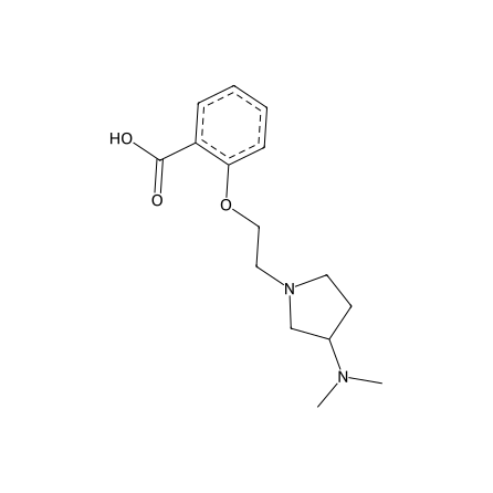 CN(C)C1CCN(CCOc2ccccc2C(=O)O)C1